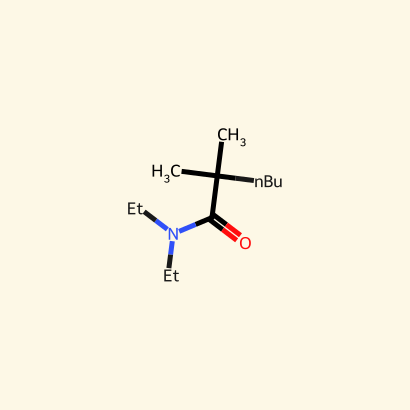 CCCCC(C)(C)C(=O)N(CC)CC